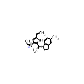 C=Cc1cc(/N=C\C)c(C(=C)N2CCc3cc(C)ccc32)[nH]1